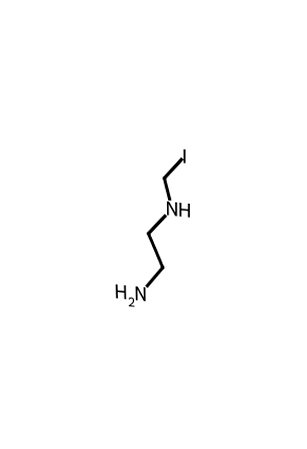 NCCNCI